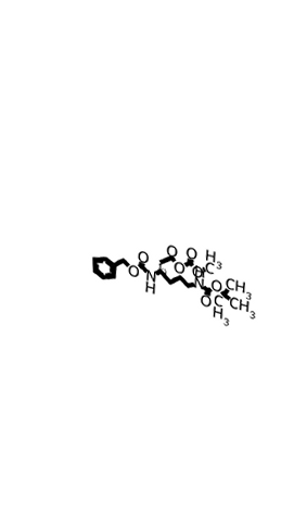 COC(=O)OC(=O)C[C@H](CCCNC(=O)OC(C)(C)C)NC(=O)OCc1ccccc1